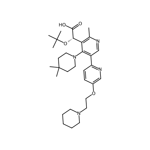 Cc1ncc(-c2ccc(OCCN3CCCCC3)cn2)c(N2CCC(C)(C)CC2)c1[C@H](OC(C)(C)C)C(=O)O